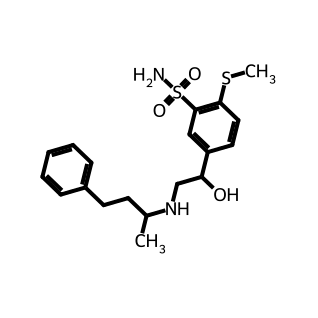 CSc1ccc(C(O)CNC(C)CCc2ccccc2)cc1S(N)(=O)=O